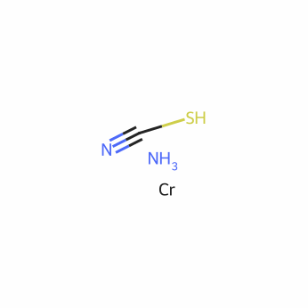 N.N#CS.[Cr]